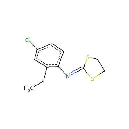 CCc1cc(Cl)ccc1N=C1SCCS1